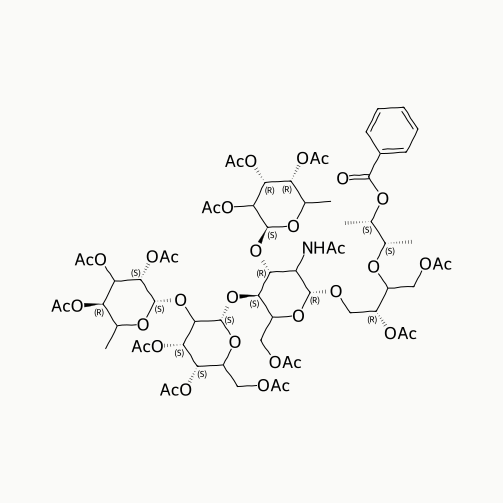 CC(=O)NC1[C@H](OC[C@@H](OC(C)=O)C(COC(C)=O)O[C@@H](C)[C@H](C)OC(=O)c2ccccc2)OC(COC(C)=O)[C@@H](O[C@@H]2OC(COC(C)=O)[C@H](OC(C)=O)[C@H](OC(C)=O)C2O[C@@H]2OC(C)[C@@H](OC(C)=O)C(OC(C)=O)[C@@H]2OC(C)=O)[C@@H]1O[C@@H]1OC(C)[C@@H](OC(C)=O)[C@@H](OC(C)=O)C1OC(C)=O